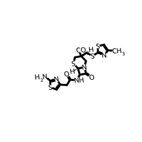 Cc1csc(SCC2(C(=O)O)CS[C@@H]3C(NC(=O)Cc4csc(N)n4)C(=O)N3C2)n1